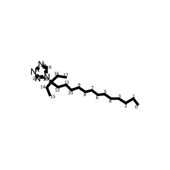 CCCCCCCCCCCCCC(CC)(CC)n1cnnn1